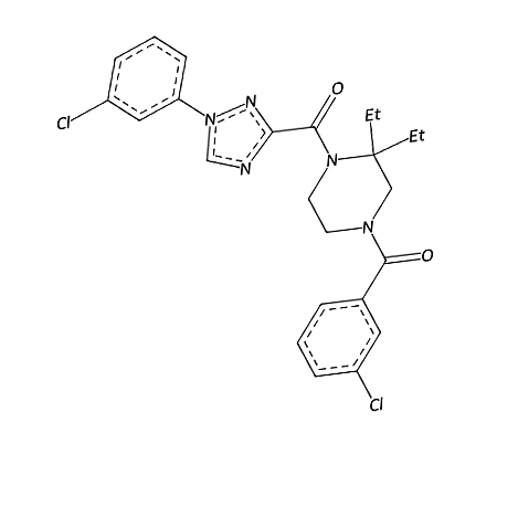 CCC1(CC)CN(C(=O)c2cccc(Cl)c2)CCN1C(=O)c1ncn(-c2cccc(Cl)c2)n1